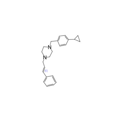 C(=C\c1ccccc1)/CN1CCN(Cc2ccc(C3CC3)cc2)CC1